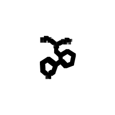 CCCN(CCC)CC1CCCC=C1c1cccnc1